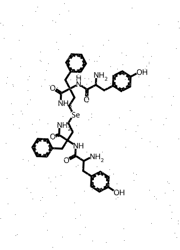 NC(=O)C(CC[Se]CCC(Cc1ccccc1)(NC(=O)C(N)Cc1ccc(O)cc1)C(N)=O)(Cc1ccccc1)NC(=O)C(N)Cc1ccc(O)cc1